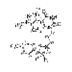 Cc1nn(C)c(C)c1-c1cn(CCCN2C[C@@H]3C[C@]3(c3ccc(C(F)(F)F)cc3)C2)c(=O)[nH]c1=O